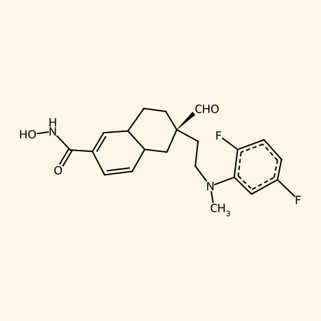 CN(CC[C@@]1(C=O)CCC2C=C(C(=O)NO)C=CC2C1)c1cc(F)ccc1F